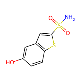 NS(=O)(=O)c1cc2cc(O)ccc2s1